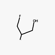 [CH2]C(CO)CF